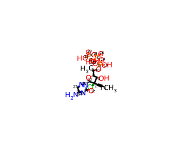 CC#CC1(Cl)[C@@H](O)[C@@H]([C@@H](C)OP(=O)(O)OP(=O)(O)OP(=O)(O)O)O[C@H]1n1ncc(N)nc1=O